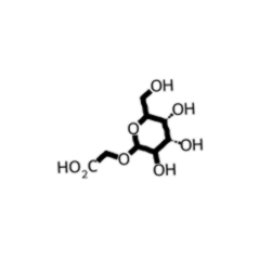 O=C(O)COC1OC(CO)[C@H](O)[C@H](O)C1O